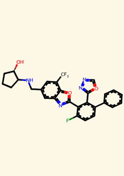 O[C@@H]1CCCC1NCc1cc(C(F)(F)F)c2oc(-c3c(F)ccc(-c4ccccc4)c3-c3nnco3)nc2c1